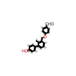 Cc1c(COc2ccc(C=O)cc2)cccc1-c1ccc(O)cc1